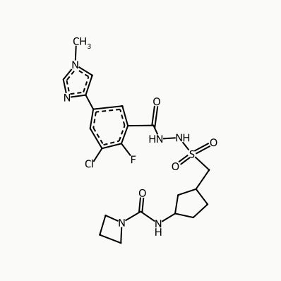 Cn1cnc(-c2cc(Cl)c(F)c(C(=O)NNS(=O)(=O)CC3CCC(NC(=O)N4CCC4)C3)c2)c1